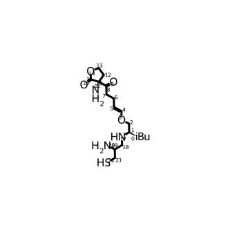 CC[C@H](C)C(COC=CCCC(=O)[C@]1(N)CCOC1=O)NCC(N)CS